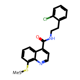 CSSc1cccc2c(C(=O)NCCc3ccccc3Cl)ccnc12